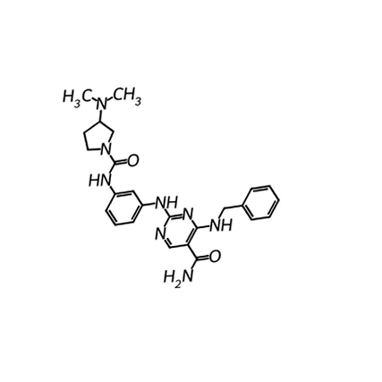 CN(C)C1CCN(C(=O)Nc2cccc(Nc3ncc(C(N)=O)c(NCc4ccccc4)n3)c2)C1